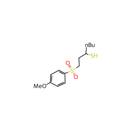 CCCCC(S)CCS(=O)(=O)c1ccc(OC)cc1